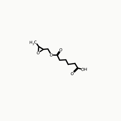 CC1OC1COC(=O)CCCCC(=O)O